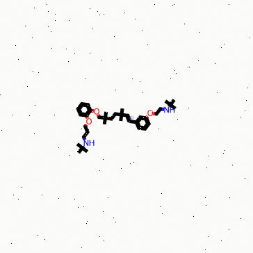 CC(C)(/C=C/c1cccc(OCCNC(C)(C)C)c1)CCC(C)(C)COc1ccccc1OCCCNC(C)(C)C